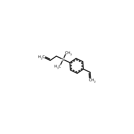 C=CC[Si](C)(C)c1ccc(C=C)cc1